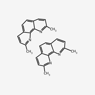 Cc1ccc2ccc3ccc(C)nc3c2n1.Cc1ccc2ccc3ccc(C)nc3c2n1